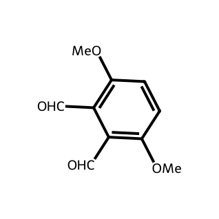 COc1ccc(OC)c(C=O)c1C=O